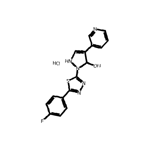 Cl.OC1C(c2cccnc2)=CNN1c1nnc(-c2ccc(F)cc2)s1